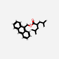 CC(C)CC(CC(C)C)C(=O)OCc1c2ccccc2cc2ccccc12